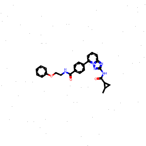 CC1CC1C(=O)Nc1nc2cccc(-c3ccc(C(=O)NCCOc4ccccc4)cc3)n2n1